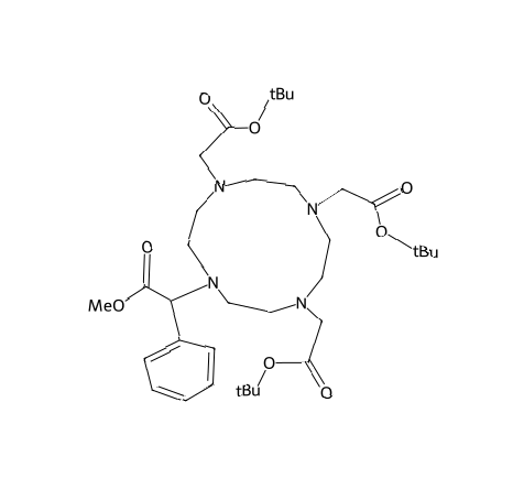 COC(=O)C(c1ccccc1)N1CCN(CC(=O)OC(C)(C)C)CCN(CC(=O)OC(C)(C)C)CCN(CC(=O)OC(C)(C)C)CC1